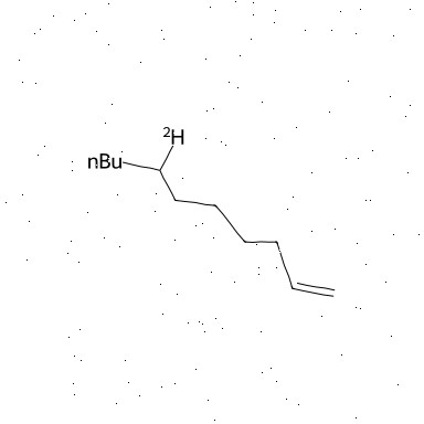 [2H]C(CCCC)CCCCC=C